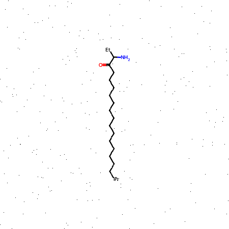 [CH2]CC(N)C(=O)CCCCCCCCCCCCCCC(C)C